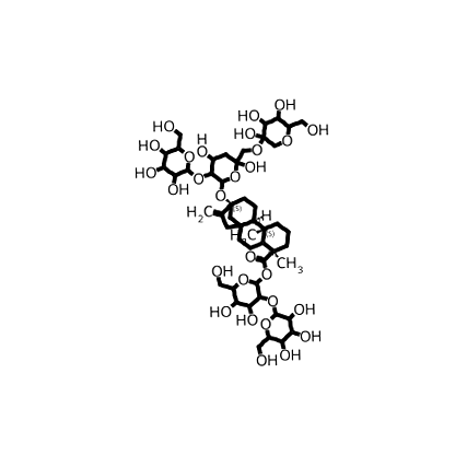 C=C1CC23CCC4[C@](C)(C(=O)OC5OC(CO)C(O)C(O)C5OC5OC(CO)C(O)C(O)C5O)CCC[C@@]4(C)[C@@H]2CC[C@]1(OC1OC(O)(COC2(O)COC(CO)C(O)C2O)CC(O)C1OC1OC(CO)C(O)C(O)C1O)C3